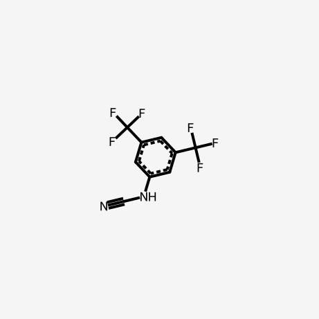 N#CNc1cc(C(F)(F)F)cc(C(F)(F)F)c1